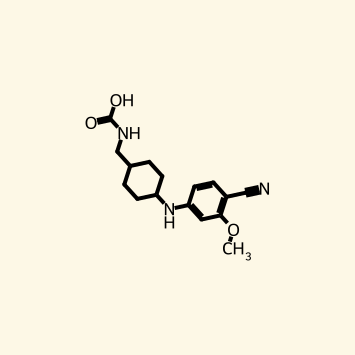 COc1cc(NC2CCC(CNC(=O)O)CC2)ccc1C#N